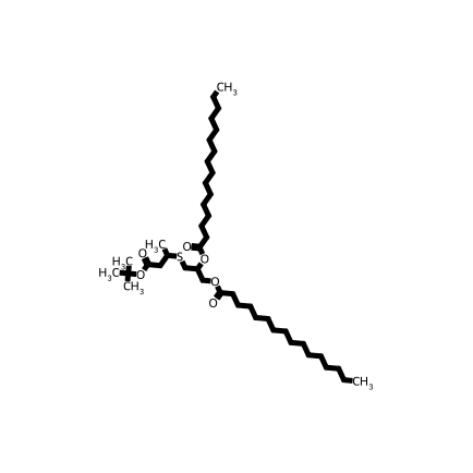 CCCCCCCCCCCCCCCC(=O)OCC(CSC(C)CC(=O)OC(C)(C)C)OC(=O)CCCCCCCCCCCCCCC